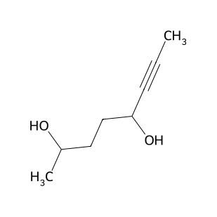 CC#CC(O)CCC(C)O